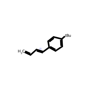 C=C/C=C/c1ccc(C(C)(C)C)cc1